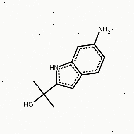 CC(C)(O)c1cc2ccc(N)cc2[nH]1